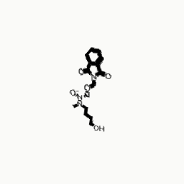 CN(CCCCO)[N+]([O-])=NOCN1C(=O)c2ccccc2C1=O